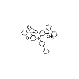 CC1(c2cccc(N(c3ccc(-c4ccccc4)cc3)c3ccc4c(c3)C3(c5ccccc5O4)c4ccccc4-c4ccccc43)c2)c2ccccc2-c2ccccc21